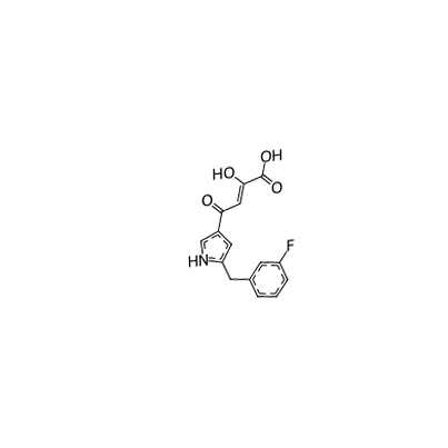 O=C(O)C(O)=CC(=O)c1c[nH]c(Cc2cccc(F)c2)c1